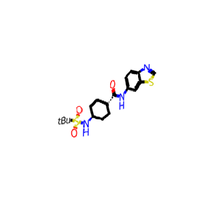 CC(C)(C)S(=O)(=O)N[C@H]1CC[C@H](C(=O)Nc2ccc3ncsc3c2)CC1